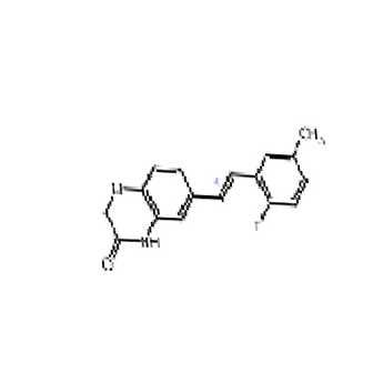 Cc1ccc(F)c(/C=C/c2ccc3c(c2)NC(=O)CO3)c1